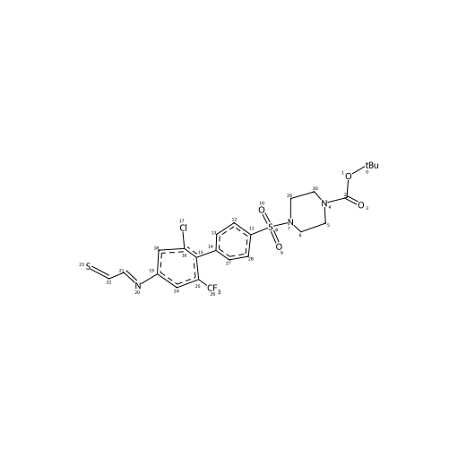 CC(C)(C)OC(=O)N1CCN(S(=O)(=O)c2ccc(-c3c(Cl)cc(N=CC=S)cc3C(F)(F)F)cc2)CC1